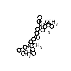 Cc1c(N(C2=CCC3C=CC=CC3=C2)c2ccc3c(c2)C(C)(C)c2ccccc2-3)ccc2cc3c(cc12)oc1cc2c(C)c(N(c4ccc5c(c4)CCC=C5)c4ccc5c(c4)C(C)(C)c4ccccc4-5)ccc2cc13